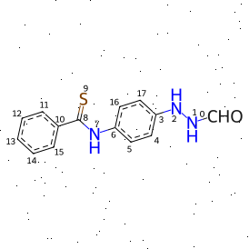 O=CNNc1ccc(NC(=S)c2ccccc2)cc1